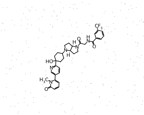 Cn1c(-c2ccc(C3(O)CCC(N4CC[C@@H]5[C@H]4CCN5C(=O)CNC(=O)c4cccc(C(F)(F)F)c4)CC3)nc2)cccc1=O